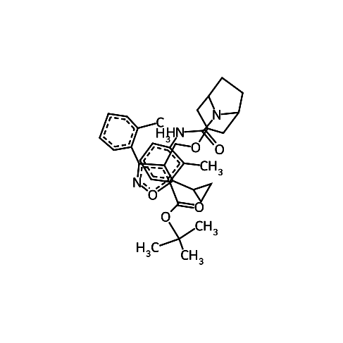 Cc1ccccc1-c1noc(C2CC2)c1COC1CC2CCC(C1)N2C(=O)Nc1cccc(C(=O)OC(C)(C)C)c1C